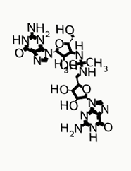 CC(C)(NC[C@H]1O[C@@H](n2cnc3c(=O)[nH]c(N)nc32)[C@H](O)[C@@H]1O)NC1[C@@H](O)[C@H](n2cnc3c(=O)[nH]c(N)nc32)O[C@@H]1CO